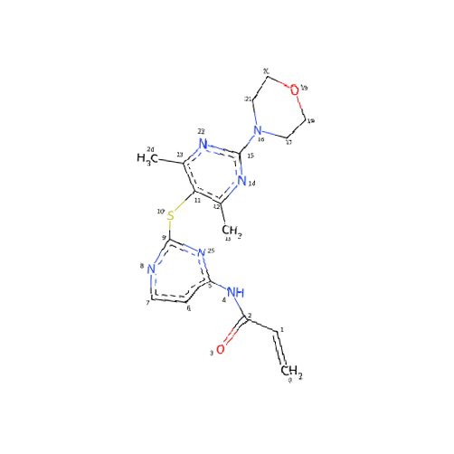 C=CC(=O)Nc1ccnc(Sc2c(C)nc(N3CCOCC3)nc2C)n1